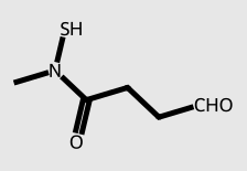 CN(S)C(=O)CCC=O